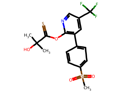 CC(C)(O)C(=S)Oc1ncc(C(F)(F)F)cc1-c1ccc(S(C)(=O)=O)cc1